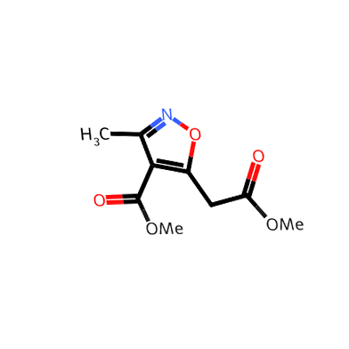 COC(=O)Cc1onc(C)c1C(=O)OC